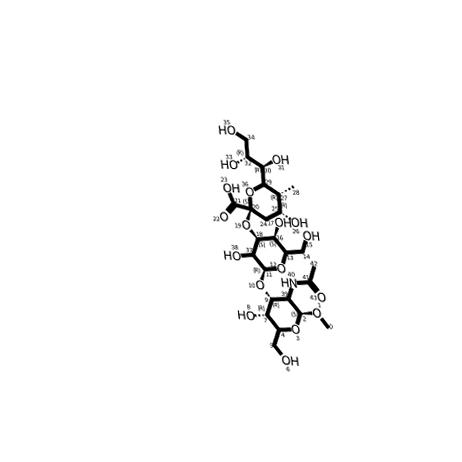 CO[C@H]1OC(CO)[C@H](O)[C@H](O[C@@H]2OC(CO)[C@H](O)[C@H](O[C@]3(C(=O)O)C[C@@H](O)[C@@H](C)C([C@H](O)[C@H](O)CO)O3)C2O)C1NC(C)=O